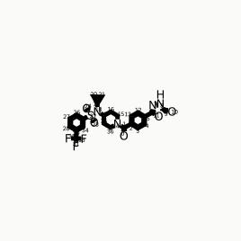 O=C(c1ccc(-c2n[nH]c(=O)o2)cc1)N1CCC(N(C2CC2)S(=O)(=O)c2cccc(C(F)(F)F)c2)CC1